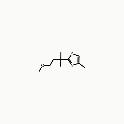 COCCC(C)(C)c1nc(C)cs1